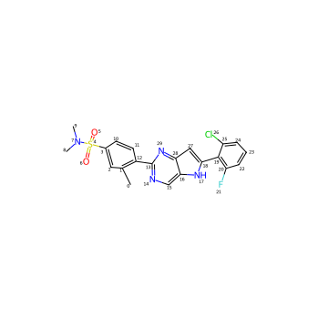 Cc1cc(S(=O)(=O)N(C)C)ccc1-c1ncc2[nH]c(-c3c(F)cccc3Cl)cc2n1